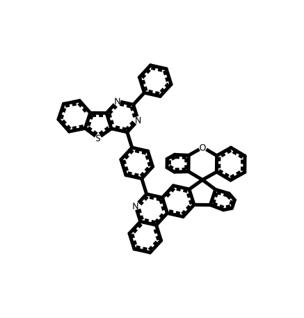 c1ccc(-c2nc(-c3ccc(-c4nc5ccccc5c5cc6c(cc45)C4(c5ccccc5Oc5ccccc54)c4ccccc4-6)cc3)c3sc4ccccc4c3n2)cc1